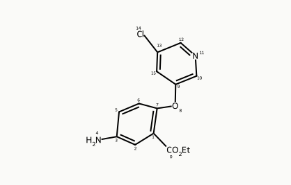 CCOC(=O)c1cc(N)ccc1Oc1cncc(Cl)c1